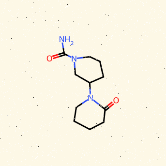 NC(=O)N1CCCC(N2CCCCC2=O)C1